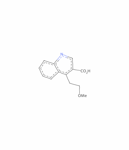 COCCc1c(C(=O)O)cnc2ccccc12